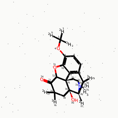 [2H]C([2H])([2H])Oc1ccc2c3c1OC1C(=O)C([2H])([2H])C[C@]4(O)[C@@]31CCN(C)[C@]4([2H])C2([2H])[2H]